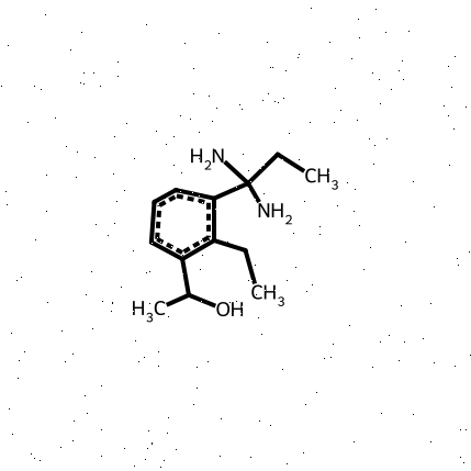 CCc1c(C(C)O)cccc1C(N)(N)CC